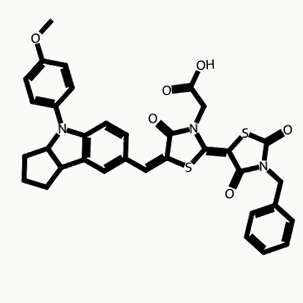 COc1ccc(N2c3ccc(/C=c4/s/c(=C5/SC(=O)N(Cc6ccccc6)C5=O)n(CC(=O)O)c4=O)cc3C3CCCC32)cc1